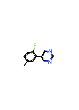 Cc1ccc(F)c(-c2cn[c]nc2)c1